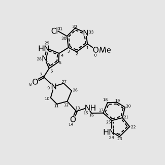 COc1cc(-c2cc(C(=O)N3CCC(C(=O)NCc4cccc5cc[nH]c45)CC3)n[nH]2)c(Cl)cn1